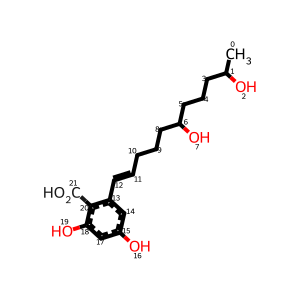 CC(O)CCCC(O)CCCC=Cc1cc(O)cc(O)c1C(=O)O